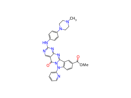 COC(=O)c1ccc2c(c1)c1nc3nc(Nc4ccc(N5CCN(C)CC5)cc4)ncc3c(=O)n1n2-c1ccccn1